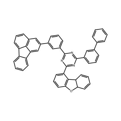 C1=CC2Oc3cccc(-c4nc(-c5cccc(-c6ccccc6)c5)nc(-c5cccc(-c6cc7c8c(cccc8c6)-c6ccccc6-7)c5)n4)c3C2C=C1